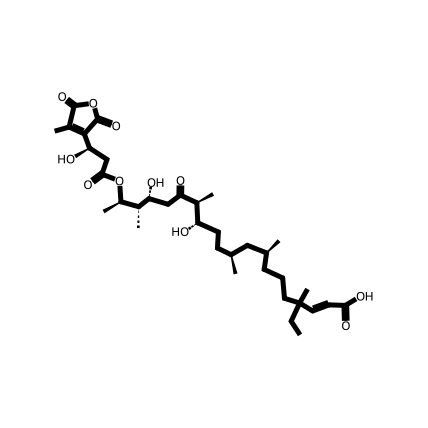 CCC(C)(/C=C/C(=O)O)CCC[C@H](C)C[C@@H](C)CC[C@H](O)[C@H](C)C(=O)C[C@@H](O)[C@H](C)[C@@H](C)OC(=O)C[C@@H](O)C1=C(C)C(=O)OC1=O